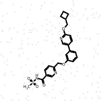 CS(=O)(=O)NC(=O)c1ccc(COc2cccc(-c3ccc(OCC4CCC4)nc3)c2)nc1